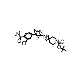 CN(C)C(=O)c1ccc(-c2nnc(N3CC4(CCN(C(=O)OC(C)(C)C)CC4)C3)s2)cc1Cl